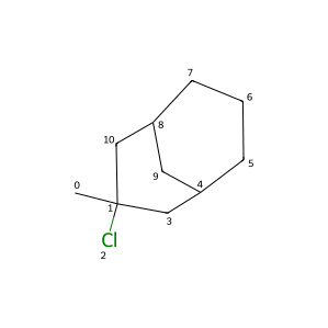 CC1(Cl)CC2CCCC(C2)C1